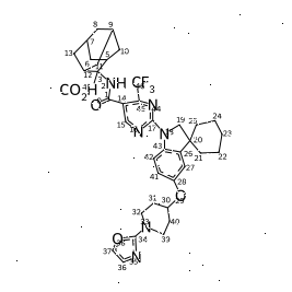 O=C(NC1(C(=O)O)C2CC3CC(C2)CC1C3)c1cnc(N2CC3(CCCCC3)c3cc(OC4CCN(c5ncco5)CC4)ccc32)nc1C(F)(F)F